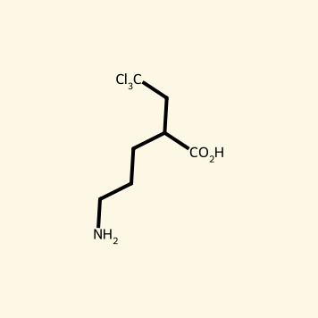 NCCCC(CC(Cl)(Cl)Cl)C(=O)O